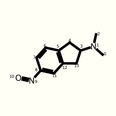 CN(C)C1Cc2ccc(N=O)cc2C1